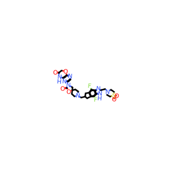 O=C1COc2ncc(N3CC4(CCN(CC5Cc6c(c(F)c7[nH]c(CN8CCS(=O)(=O)CC8)nc7c6F)C5)CC4)OC3=O)nc2N1